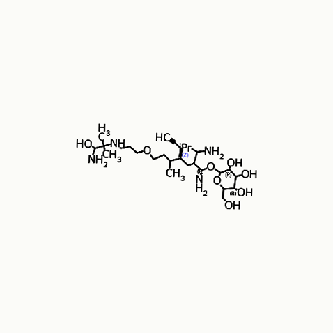 C#C/C=C(/CC(C(N)C(C)C)[C@H](N)OC1OC(CO)[C@H](O)C(O)[C@H]1O)C(C)CCOCCCNC(C)(C)C(N)O